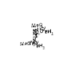 B[C@H]1C[C@@H](OC)[C@@H](Cn2cc(CO[C@@H]3C[C@H](B)O[C@@H]3COC)nn2)O1